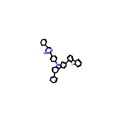 C1=CC2Sc3c(-c4ccc5c6c(n(C7C=CC(C8=NC=C(C9C=CCCC9)CN8)=CC7)c5c4)C=CC(C4=CCCC=C4)C6)cccc3C2C=C1